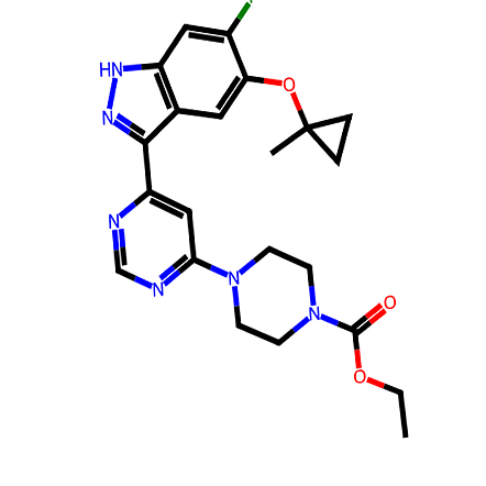 CCOC(=O)N1CCN(c2cc(-c3n[nH]c4cc(F)c(OC5(C)CC5)cc34)ncn2)CC1